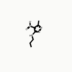 CCCNc1snc(C)c1[N+](=O)[O-]